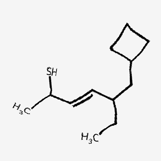 CCC(/C=C/C(C)S)CC1CCC1